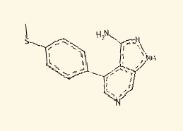 CSc1ccc(-c2cncc3[nH]nc(N)c23)cc1